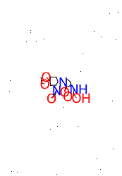 O=C=N[C@H]1CC2(CC[C@@H]1N1CC[C@H](NC(=O)O)C1=O)OCCO2